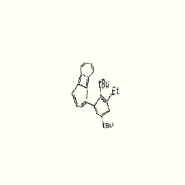 CCc1cc(C(C)(C)C)cc(-c2cccc3c2=c2ccccc2=3)c1C(C)(C)C